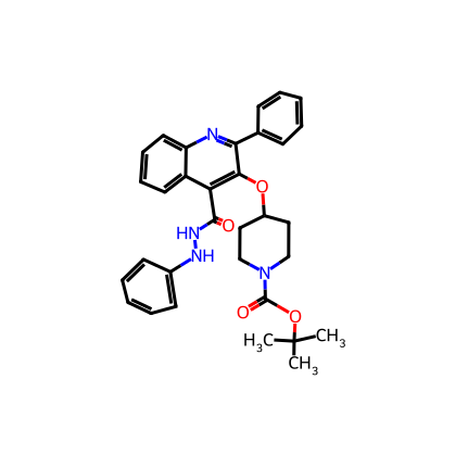 CC(C)(C)OC(=O)N1CCC(Oc2c(-c3ccccc3)nc3ccccc3c2C(=O)NNc2ccccc2)CC1